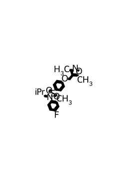 Cc1cc(F)ccc1N(CC(C)C)S(=O)(=O)c1ccc(OCc2c(C)noc2C)cc1